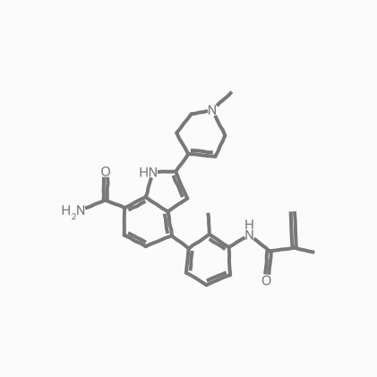 C=C(C)C(=O)Nc1cccc(-c2ccc(C(N)=O)c3[nH]c(C4=CCN(C)CC4)cc23)c1C